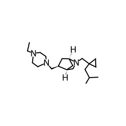 CCN1CCN(C[C@H]2C[C@@H]3C[C@H]2CN3CC2(CC(C)C)CC2)CC1